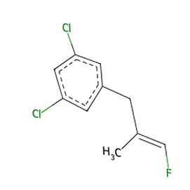 C/C(=C\F)Cc1cc(Cl)cc(Cl)c1